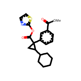 COC(=O)c1cccc(C2(C(=O)Oc3nccs3)CC2C2CCCCC2)c1